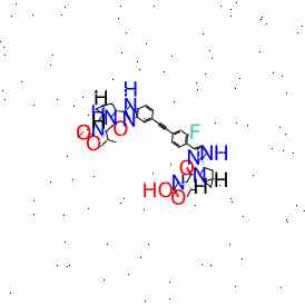 COC(=O)N[C@H](C(=O)N1[C@@H]2C[C@H]2C[C@H]1c1nc2cc(C#Cc3ccc(-c4c[nH]c([C@@H]5C[C@H]6C[C@H]6N5C(=O)[C@H](C(C)C)N(C)C(=O)O)n4)c(F)c3)ccc2[nH]1)C(C)C